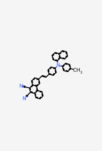 Cc1ccc(N(c2ccc(C=Cc3ccc4c(C#N)c(C#N)c5ccccc5c4c3)cc2)c2cccc3ccccc23)cc1